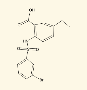 CCc1ccc(NS(=O)(=O)c2cccc(Br)c2)c(C(=O)O)c1